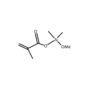 C=C(C)C(=O)O[Si](C)(C)OC